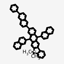 C[Si]1(C)c2ccccc2-c2cc3c(-c4ccc5ccccc5c4)c4ccc(-c5ccc6cc(-c7ccccc7)ccc6c5)cc4c(-c4ccc5ccccc5c4)c3cc21